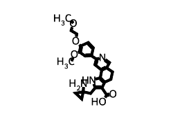 COCCOc1ccc(-c2cc3c(cn2)CCc2c-3[nH]c(CC3(N)CC3)c2C(=O)O)cc1OC